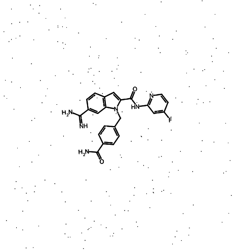 N=C(N)c1ccc2cc(C(=O)Nc3cc(F)ccn3)n(Cc3ccc(C(N)=O)cc3)c2c1